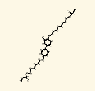 C=CC(=O)OCCCCCCCCOc1ccc(-c2ccc(CCCCCCCOC(=O)C=C)cc2)cc1C